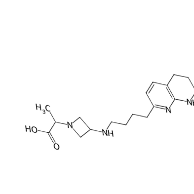 CC(C(=O)O)N1CC(NCCCCc2ccc3c(n2)NCCC3)C1